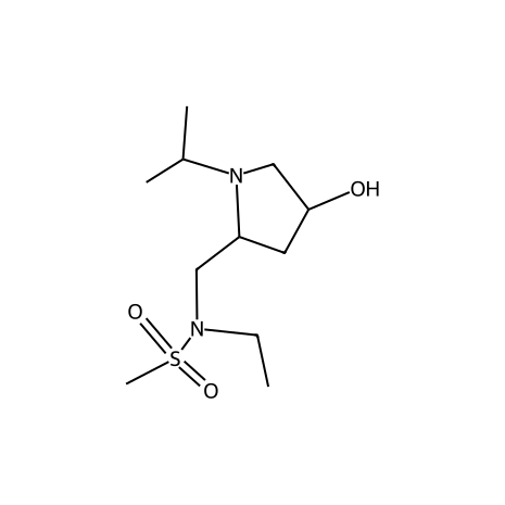 CCN(CC1CC(O)CN1C(C)C)S(C)(=O)=O